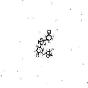 Cc1cc(Cn2nc(-c3nsc(-c4cccc(Cl)c4)n3)ccc2=O)on1